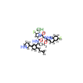 C[C@H](NC(=O)[C@@H]1C[C@@H](F)CN1C(=O)CNC(=O)c1ccc2cc(F)ccc2n1)c1cc(C2=CCCNC2)ccc1/C=C/C1CC1.Cl